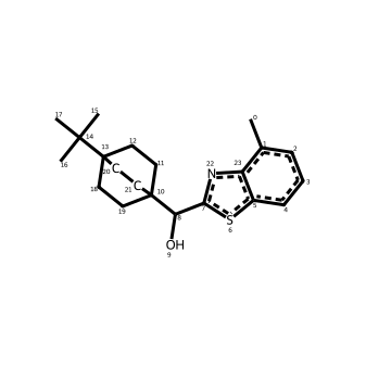 Cc1cccc2sc(C(O)C34CCC(C(C)(C)C)(CC3)CC4)nc12